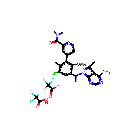 COc1c(C(C)n2nc(C)c3c(N)ncnc32)cc(Cl)c(C)c1-c1ccnc(C(=O)N(C)C)c1.O=C(O)C(F)(F)F.O=C(O)C(F)(F)F